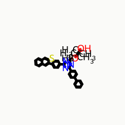 CC(C)(O)C(C)(C)OBc1nc(-c2ccc(-c3ccccc3)cc2)nc(-c2ccc3c(c2)sc2cc4ccccc4cc23)n1